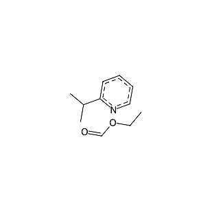 CC(C)c1ccccn1.CCOC=O